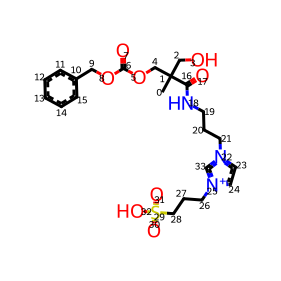 CC(CO)(COC(=O)OCc1ccccc1)C(=O)NCCCn1cc[n+](CCCS(=O)(=O)O)c1